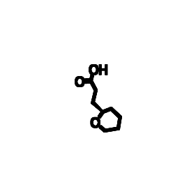 O=C(O)CC[C@H]1CCCCO1